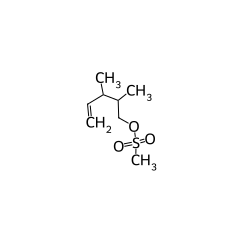 C=CC(C)C(C)COS(C)(=O)=O